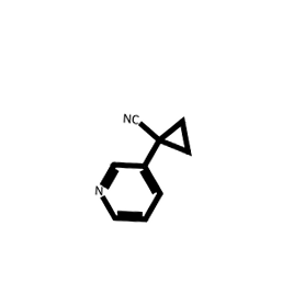 N#CC1(c2[c]nccc2)CC1